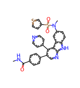 CNC(=O)c1ccc(-c2cnc3[nH]c4ccc(N(C)S(=O)(=O)c5ccsc5)cc4c3c2-c2ccncc2)cc1